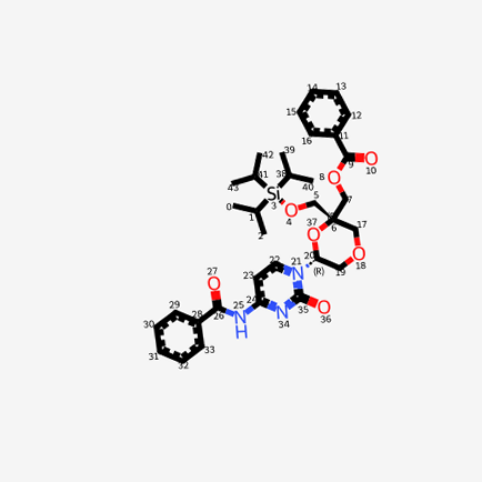 CC(C)[Si](OC[C@@]1(COC(=O)c2ccccc2)COC[C@H](n2ccc(NC(=O)c3ccccc3)nc2=O)O1)(C(C)C)C(C)C